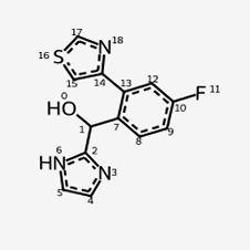 OC(c1ncc[nH]1)c1ccc(F)cc1-c1cscn1